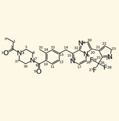 CCC(=O)N1CCN(C(=O)c2ccc(Cc3nccn4c(C5=CCN=C5C(F)(F)F)cnc34)cc2C)CC1